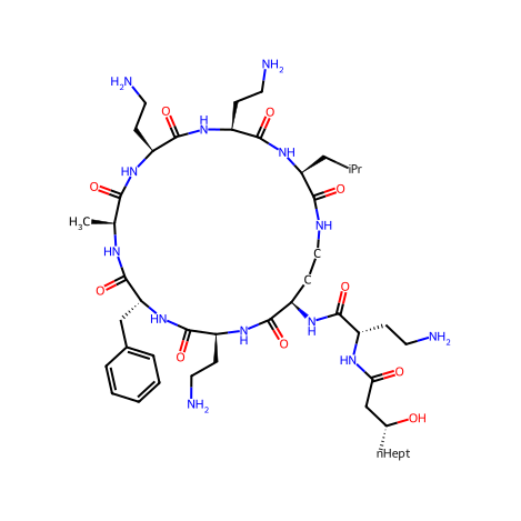 CCCCCCC[C@@H](O)CC(=O)N[C@@H](CCN)C(=O)N[C@@H]1CCNC(=O)[C@H](CC(C)C)NC(=O)[C@H](CCN)NC(=O)[C@H](CCN)NC(=O)[C@H](C)NC(=O)[C@@H](Cc2ccccc2)NC(=O)[C@H](CCN)NC1=O